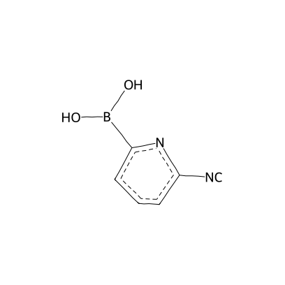 [C-]#[N+]c1cccc(B(O)O)n1